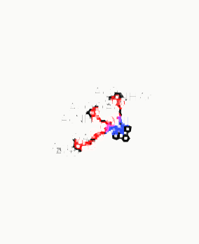 CC(=O)NC1[C@H](OCCCCC(=O)NCCN(CCN(NC(=O)CCOC(=O)CCC(=O)CO[C@@H]2OC(COC(C)=O)[C@H](OC(C)=O)[C@H](OC(C)=O)C2C)C(=O)CCCCO[C@H]2OC(COC(C)=O)[C@@H](OC(C)=O)C(C)[C@H]2NC(C)=O)C(c2ccccc2)(c2ccccc2)c2ccccc2)OC(COC(C)=O)[C@H](OC(C)=O)[C@@H]1C